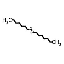 CCCCCCC[P][P]CCCCCCC